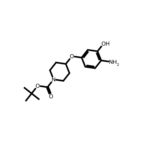 CC(C)(C)OC(=O)N1CCC(Oc2ccc(N)c(O)c2)CC1